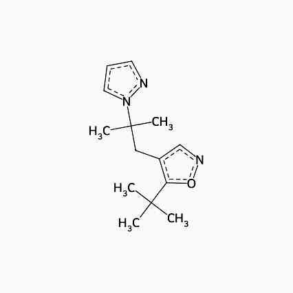 CC(C)(C)c1oncc1CC(C)(C)n1cccn1